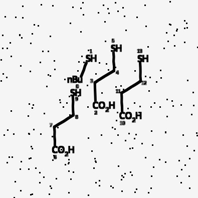 CCCCS.O=C(O)CCS.O=C(O)CCS.O=C(O)CCS